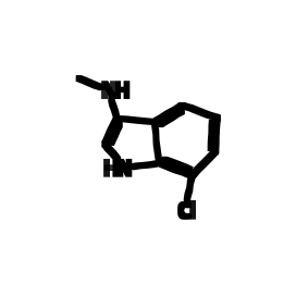 CNc1c[nH]c2c(Cl)cccc12